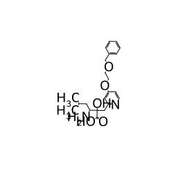 CC(C)CC(N)C(O)(Cc1cc(OCCOCc2ccccc2)ccn1)C(=O)O